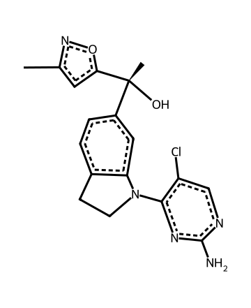 Cc1cc([C@](C)(O)c2ccc3c(c2)N(c2nc(N)ncc2Cl)CC3)on1